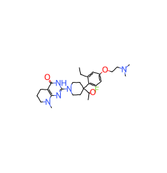 CCc1cc(OCCN(C)C)cc(F)c1C1(C(C)=O)CCN(c2nc3c(c(=O)[nH]2)CCCN3C)CC1